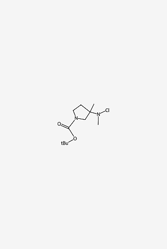 CN(Cl)C1(C)CCN(C(=O)OC(C)(C)C)C1